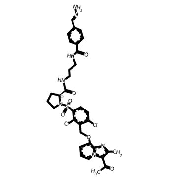 CC(=O)c1c(C)nc2c(OCc3c(Cl)ccc(S(=O)(=O)N4CCC[C@H]4C(=O)NCCCNC(=O)c4ccc(C=NN)cc4)c3Cl)cccn12